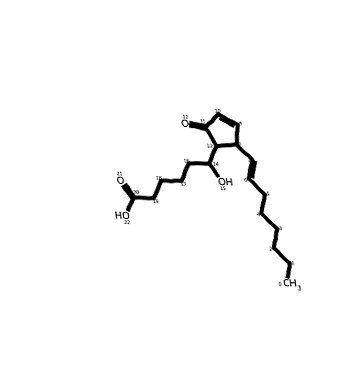 CCCCCCC=CC1C=CC(=O)C1C(O)CCCCC(=O)O